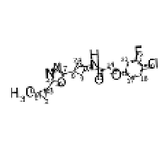 C[C@H]1C[C@@H]1c1nnc(C23CC(NC(=O)COc4ccc(Cl)c(F)c4)(C2)C3)o1